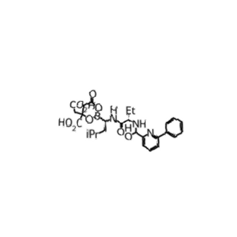 CC[C@H](NC(O)c1cccc(-c2ccccc2)n1)C(=O)N[C@@H](CC(C)C)B1OC(=O)CC(CC(=O)O)(C(=O)O)O1